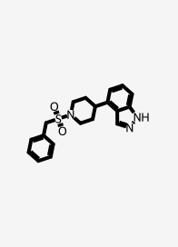 O=S(=O)(Cc1ccccc1)N1CCC(c2cccc3[nH]ncc23)CC1